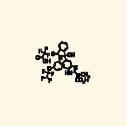 CN(C(=O)O)c1nc2cc(C3(O)c4ccccc4C(=O)N3c3cccc(OC(F)(F)C(F)F)c3)ccc2[nH]1.O=C(O)C(F)(F)F